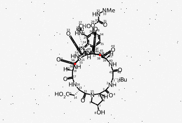 CCC(C)[C@@H]1NC(=O)[C@@H]2C[C@@H](O)CN2C(=O)[C@H](CC(=O)O)NC(=O)[C@@H]2CSc3[nH]c4c(NC=O)c(OC(=O)NNC)ccc4c3C[C@H](NC1=O)C(=O)NCC(=O)N[C@@H]([C@@H](C)CC)C(=O)NCC(=O)N2